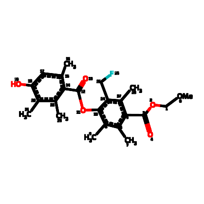 COCOC(=O)c1c(C)c(C)c(OC(=O)c2c(C)cc(O)c(C)c2C)c(CF)c1C